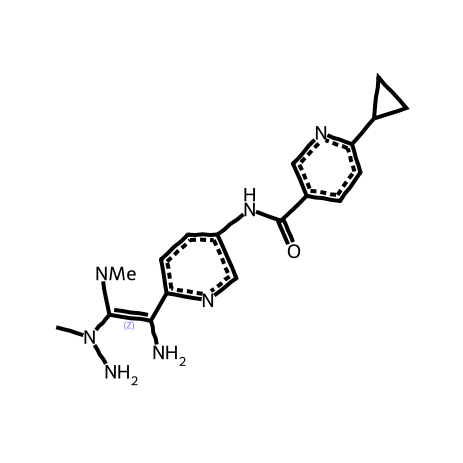 CN/C(=C(/N)c1ccc(NC(=O)c2ccc(C3CC3)nc2)cn1)N(C)N